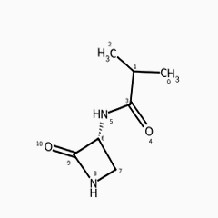 CC(C)C(=O)N[C@@H]1CNC1=O